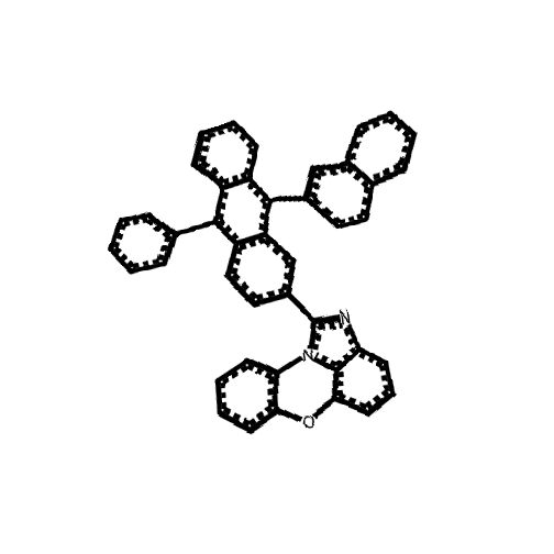 c1ccc(-c2c3ccccc3c(-c3ccc4ccccc4c3)c3cc(-c4nc5cccc6c5n4-c4ccccc4O6)ccc23)cc1